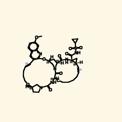 COc1ccc2cc3c(nc2c1)O[C@@H]1C[C@H]2C(=O)N[C@]4(C(=O)NS(=O)(=O)C5CC5)C[C@H]4/C=C\CCCCC[C@H](NC(=O)N4CC[C@@H](C4)OCCC/C=C/3)C(=O)N2C1